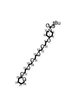 CC(C)(C)OC(=O)N1CCC(OCCOCCOCCOCCOCCO[C@H]2CCCCO2)CC1